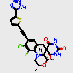 C[C@@H]1CN2c3c(cc(C#Cc4ccc(-c5nnn[nH]5)s4)c(F)c3F)CC3(C(=O)NC(=O)NC3=O)[C@H]2[C@H](C)O1